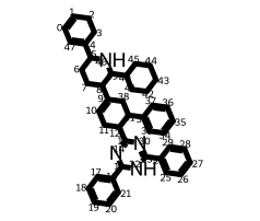 C1=CCCC(C2CCC(C3=CCC(C4=NC(c5ccccc5)NC(c5ccccc5)=N4)C(c4ccccc4)C3)C(C3CCCCC3)N2)=C1